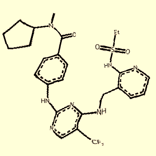 CCS(=O)(=O)Nc1ncccc1CNc1nc(Nc2ccc(C(=O)N(C)C3CCCC3)cc2)ncc1C(F)(F)F